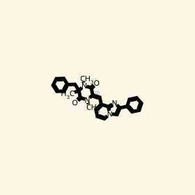 CN1C(=O)C(C)(Cc2ccccc2)N(C)C(=O)/C1=C/c1cccn2cc(-c3ccccc3)nc12